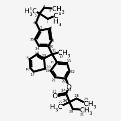 CCC(C)(CC)Cc1ccc(C(C)(C2=CC=CCC2)c2ccc(OC(=O)C(C)(CC)CC)cc2)cc1